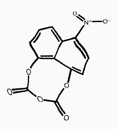 O=C1OC(=O)Oc2ccc([N+](=O)[O-])c3cccc(c23)O1